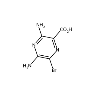 Nc1nc(N)c(C(=O)O)nc1Br